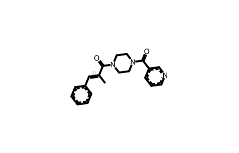 C/C(=C\c1ccccc1)C(=O)N1CCN(C(=O)c2cccnc2)CC1